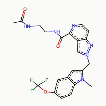 CC(=O)NCCNC(=O)c1nccc2nn(Cc3cc4cc(OC(F)(F)F)ccc4n3C)cc12